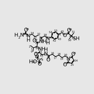 CC(C)[C@@H](NC(=O)[C@@H](CS(=O)(=O)O)NC(=O)CCCCCN1C(=O)C=CC1=O)C(=O)N[C@H](CCCNC(N)=O)CNc1ccc(COC(=O)C(C)(C)S)cc1